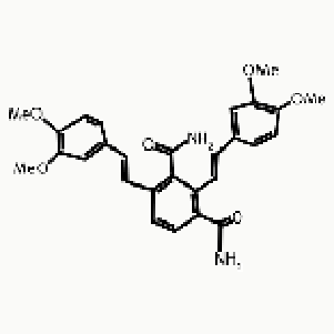 COc1ccc(C=Cc2ccc(C(N)=O)c(C=Cc3ccc(OC)c(OC)c3)c2C(N)=O)cc1OC